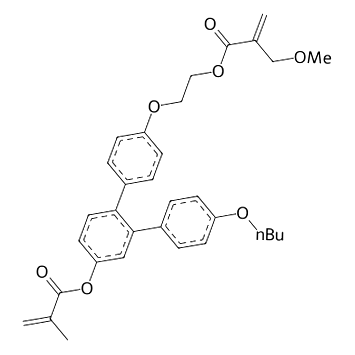 C=C(C)C(=O)Oc1ccc(-c2ccc(OCCOC(=O)C(=C)COC)cc2)c(-c2ccc(OCCCC)cc2)c1